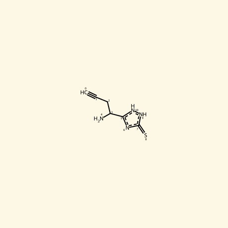 C#CCC(N)c1nc(=S)[nH][nH]1